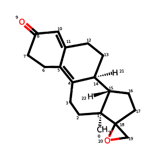 C[C@]12CCC3=C4CCC(=O)C=C4CC[C@H]3[C@@H]1CCC21CO1